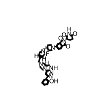 O=C1CCC(N2C(=O)c3ccc(N4CC[C@@H](CN5C[C@@H]6C(CN7CCN8c9cc(-c%10ccccc%10O)nnc9NC[C@H]8C7)[C@@H]6C5)[C@H](F)C4)cc3C2=O)C(=O)N1